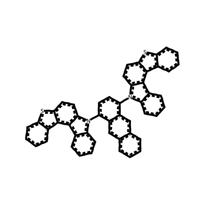 c1ccc2cc3c(-n4c5ccccc5c5c6c(ccc54)sc4ccccc46)ccc(-n4c5ccccc5c5c6c(ccc54)sc4ccccc46)c3cc2c1